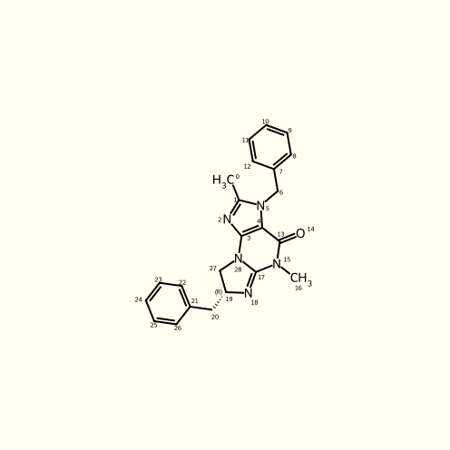 Cc1nc2c(n1Cc1ccccc1)C(=O)N(C)C1=N[C@H](Cc3ccccc3)CN12